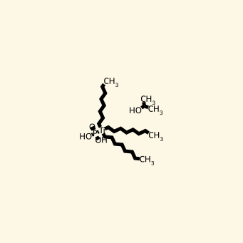 CC(C)O.CCCCCCC[CH2][Ti]([CH2]CCCCCCC)([CH2]CCCCCCC)[P](=O)(O)O